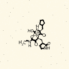 CCNC(=O)C(=O)[C@H](C[C@@H]1CCNC1=O)NC(=O)[C@H](CC1CCCC1)NC(=O)O